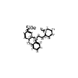 CSC1=CC2C(C=C1)Sc1ccccc1N2CCC1CCCCN1C